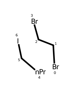 BrCCBr.CCCCI